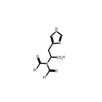 CCC(=O)N(C(=O)CC)C(Cc1c[nH]cn1)C(=O)O